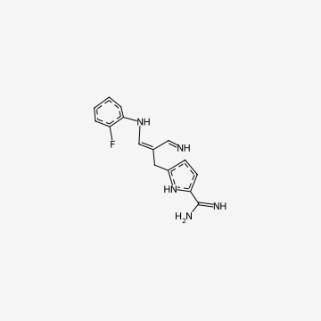 N=C/C(=C\Nc1ccccc1F)Cc1ccc(C(=N)N)[nH]1